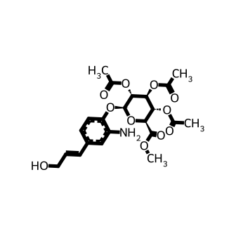 COC(=O)[C@H]1O[C@@H](Oc2ccc(C=CCO)cc2N)[C@H](OC(C)=O)[C@@H](OC(C)=O)[C@@H]1OC(C)=O